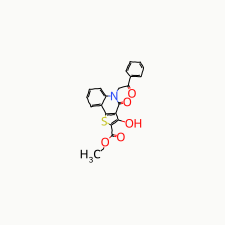 CCOC(=O)c1sc2c(c1O)c(=O)n(CC(=O)c1ccccc1)c1ccccc21